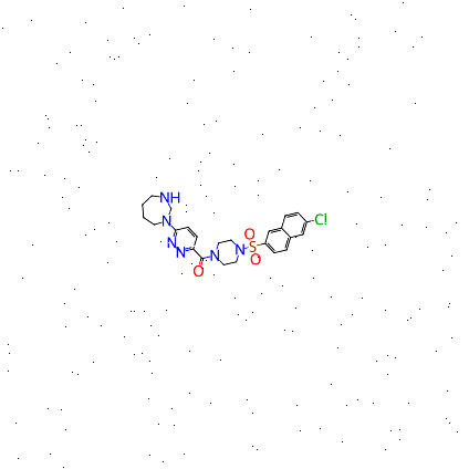 O=C(c1ccc(N2CCCCNC2)nn1)N1CCN(S(=O)(=O)c2ccc3cc(Cl)ccc3c2)CC1